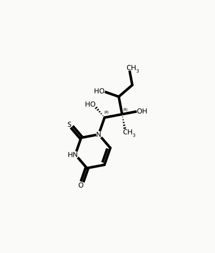 CCC(O)[C@@](C)(O)[C@@H](O)n1ccc(=O)[nH]c1=S